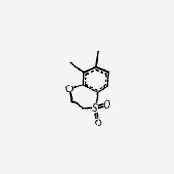 Cc1ccc2c(c1C)OCCS2(=O)=O